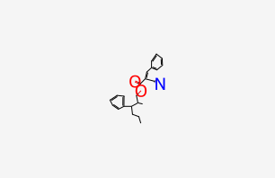 CCCC(c1ccccc1)C(C)COC(=O)C(C#N)=Cc1ccccc1